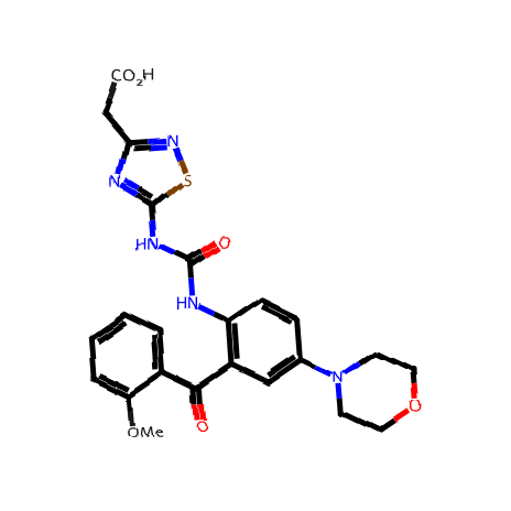 COc1ccccc1C(=O)c1cc(N2CCOCC2)ccc1NC(=O)Nc1nc(CC(=O)O)ns1